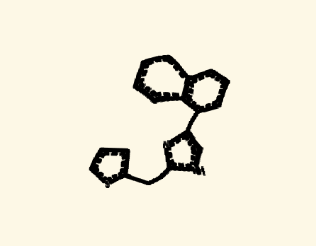 c1csc(Cc2nc(-c3cccc4ccccc34)c[nH]2)c1